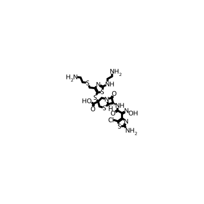 NCCNc1nc(CSCCN)c(SC2(C(=O)O)CS[C@@H]3[C@H](NC(=O)C(=NO)c4nc(N)sc4Cl)C(=O)N3C2)s1